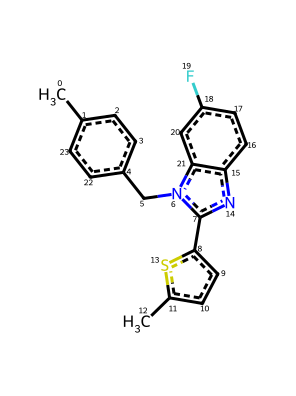 Cc1ccc(Cn2c(-c3ccc(C)s3)nc3ccc(F)cc32)cc1